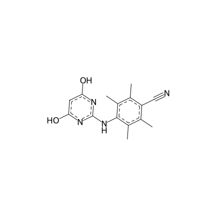 Cc1c(C)c(Nc2nc(O)cc(O)n2)c(C)c(C)c1C#N